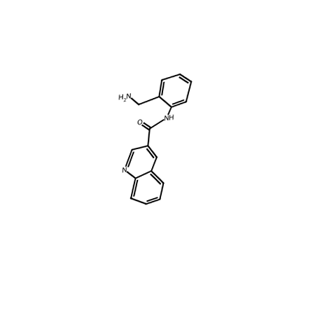 NCc1ccccc1NC(=O)c1cnc2ccccc2c1